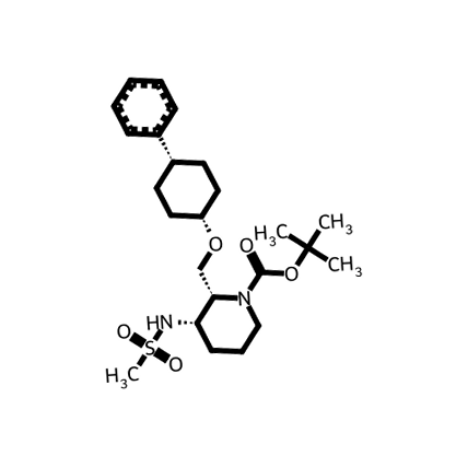 CC(C)(C)OC(=O)N1CCC[C@H](NS(C)(=O)=O)[C@@H]1CO[C@H]1CC[C@@H](c2ccccc2)CC1